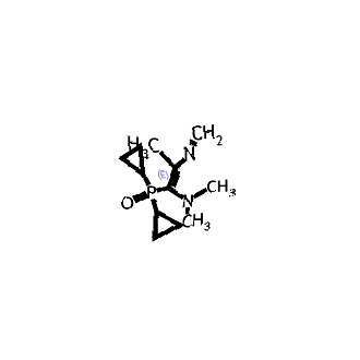 C=N/C(C)=C(\N(C)C)P(=O)(C1CC1)C1CC1